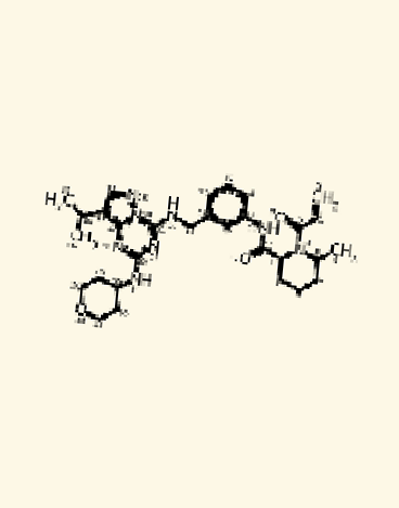 C=CC(=O)N1C(C)CCCC1C(=O)Nc1cccc(CNc2nc(NC3CCOCC3)nc3c(C(C)C)cnn23)c1